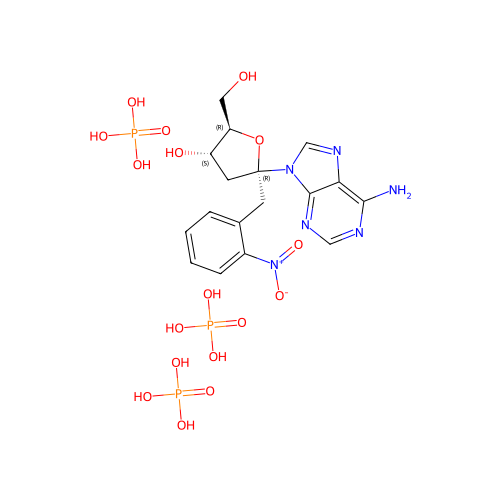 Nc1ncnc2c1ncn2[C@@]1(Cc2ccccc2[N+](=O)[O-])C[C@H](O)[C@@H](CO)O1.O=P(O)(O)O.O=P(O)(O)O.O=P(O)(O)O